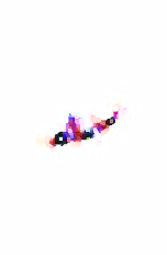 NC(=O)OC(CCCCNC(=O)C(=O)c1ccc([N+](=O)[O-])cc1)C(=O)Nc1ccc(CO)cc1